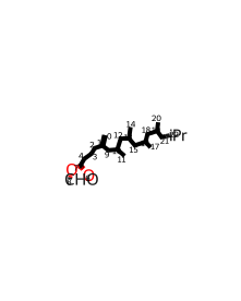 C=C(CCCC(=O)OC=O)CC(C)CC(C)CC(C)CC(C)CC(C)C